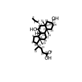 CCC[C@H]1[C@@H](O)[C@H]2C3CC[C@H](C(C)CCC(=O)O)[C@@]3(C)CCC2[C@@]2(C)CC[C@@H](O)C[C@@]12C